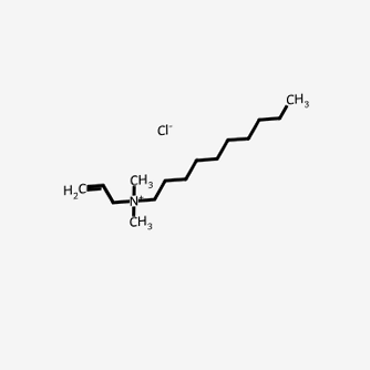 C=CC[N+](C)(C)CCCCCCCCCC.[Cl-]